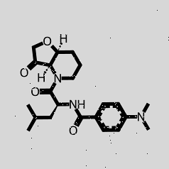 CC(C)C[C@H](NC(=O)c1ccc(N(C)C)cc1)C(=O)N1CCC[C@@H]2OCC(=O)[C@@H]21